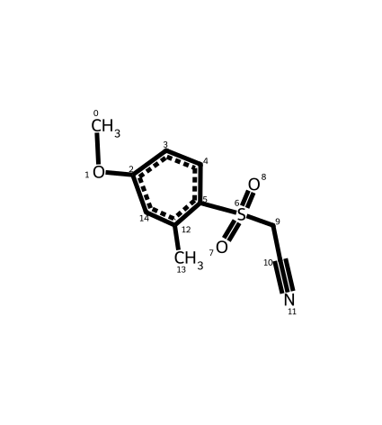 COc1ccc(S(=O)(=O)CC#N)c(C)c1